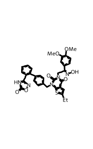 CCc1cc2c(=O)n(CC(=NO)c3ccc(OC)c(OC)c3)c(=O)n(Cc3ccc(-c4ccccc4-c4noc(=O)[nH]4)cc3)c2s1